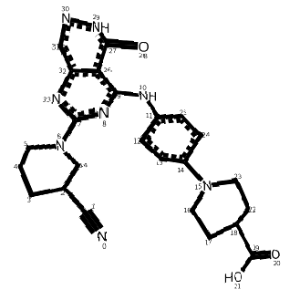 N#CC1CCCN(c2nc(Nc3ccc(N4CCC(C(=O)O)CC4)cc3)c3c(=O)[nH]ncc3n2)C1